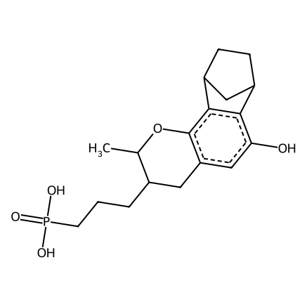 CC1Oc2c(cc(O)c3c2C2CCC3C2)CC1CCCP(=O)(O)O